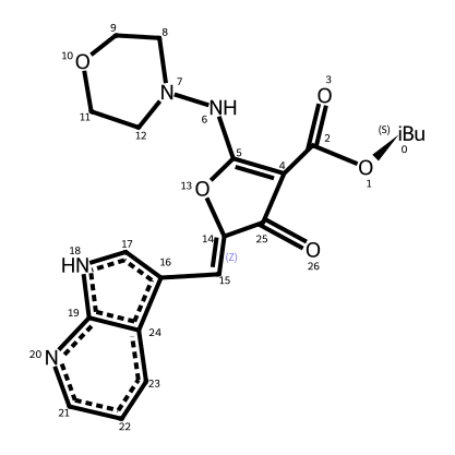 CC[C@H](C)OC(=O)C1=C(NN2CCOCC2)O/C(=C\c2c[nH]c3ncccc23)C1=O